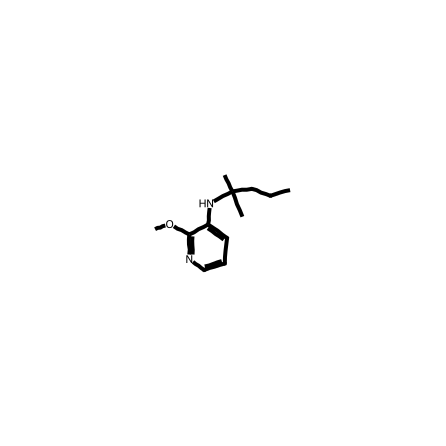 CCCC(C)(C)Nc1cccnc1OC